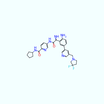 N=C(C(=O)Nc1ccc(C(=O)NC2CCCC2)nc1)c1cc(-c2cncc(CN3CCC(F)(F)C3)c2)ccc1N